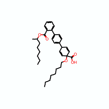 CCCCCCCCOC1(C(=O)O)C=CC(c2ccc(-c3ccccc3C(=O)OC(C)CCCCCC)cc2)C=C1